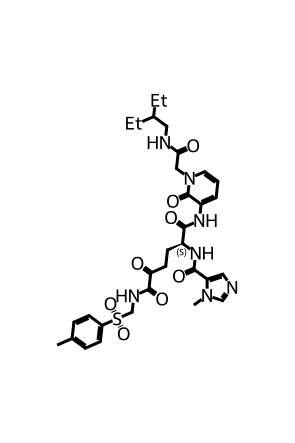 CCC(CC)CNC(=O)Cn1cccc(NC(=O)[C@H](CCC(=O)C(=O)NCS(=O)(=O)c2ccc(C)cc2)NC(=O)c2cncn2C)c1=O